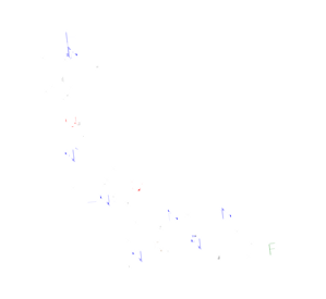 Cc1nsc(Nc2cnc(C(F)(F)F)cn2)c1C(=O)Nc1ccc(OC[C@@H]2CCNC2)nc1